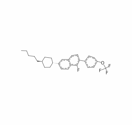 CCCCC[C@H]1CC[C@H](c2ccc3c(F)c(-c4ccc(OC(F)(F)F)cc4)ccc3c2)CC1